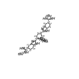 CC(C)(C)NC(=N)c1ccc2[nH]c(-c3ccc(-c4nc5cc(C(=N)NC(C)(C)C)ccc5[nH]4)cc3)nc2c1.Cl.Cl.Cl.Cl